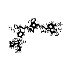 CN(CCCn1nnc2cc(CNC[C@H](O)c3ccc(O)c4[nH]c(=O)ccc34)c3c(c21)OCO3)[C@H]1CC[C@H](OC(=O)C(O)(c2cccs2)c2cccs2)CC1